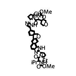 CC[C@H]1CC[C@@H](c2nc3ccc4cc5c(cc4c3[nH]2)OCc2cc(-c3cnc([C@@H]4CC[C@H](C)N4C(=O)[C@@H](NC(=O)OC)C4CCOCC4)[nH]3)ccc2-5)N1C(=O)C(NC(=O)OC)C(C)C